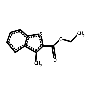 CCOC(=O)c1sc2ccccc2c1C